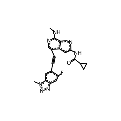 CNc1ncc(C#Cc2cc3c(cc2F)nnn3C)c2cc(NC(=O)C3CC3)ncc12